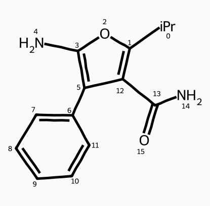 CC(C)c1oc(N)c(-c2ccccc2)c1C(N)=O